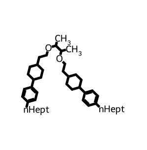 CCCCCCCc1ccc(C2CCC(CCOC(C)C(C)OCCC3CCC(c4ccc(CCCCCCC)cc4)CC3)CC2)cc1